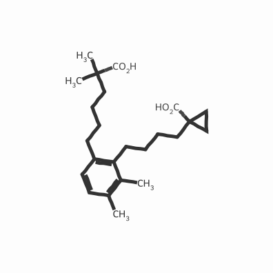 Cc1ccc(CCCCC(C)(C)C(=O)O)c(CCCCC2(C(=O)O)CC2)c1C